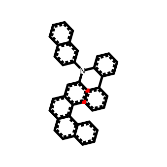 c1ccc(-c2ccccc2N(c2ccc3ccccc3c2)c2ccc3c(ccc4ccc5ccccc5c43)c2)cc1